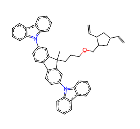 C=CC1CC(C=C)C(COCCCC2(C)c3cc(-n4c5ccccc5c5ccccc54)ccc3-c3ccc(-n4c5ccccc5c5ccccc54)cc32)C1